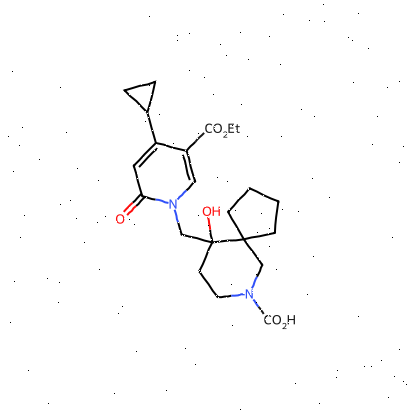 CCOC(=O)c1cn(CC2(O)CCN(C(=O)O)CC23CCCC3)c(=O)cc1C1CC1